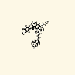 COCCOc1cc2ncnc(Nc3ccc(F)c(Cl)c3)c2cc1NC(=O)C=CCN1C[C@@H]2OCCO[C@@H]2C1